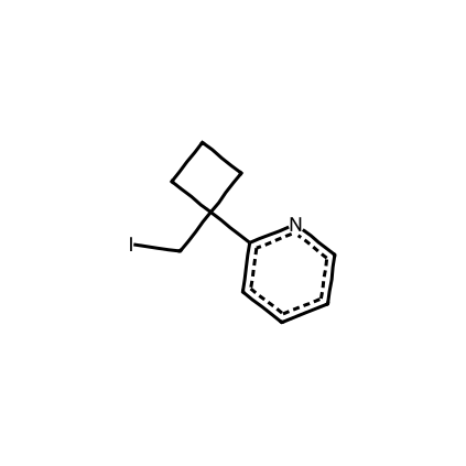 ICC1(c2ccccn2)CCC1